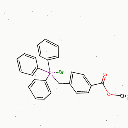 COC(=O)c1ccc(CP(Br)(c2ccccc2)(c2ccccc2)c2ccccc2)cc1